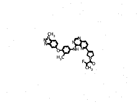 C=C(F)C(=O)N1CC=C(c2ccc3ncnc(Nc4ccc(Oc5ccc6c(c5)nnn6C)c(C)c4)c3n2)C1